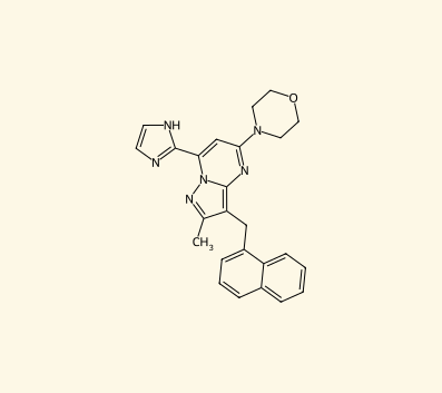 Cc1nn2c(-c3ncc[nH]3)cc(N3CCOCC3)nc2c1Cc1cccc2ccccc12